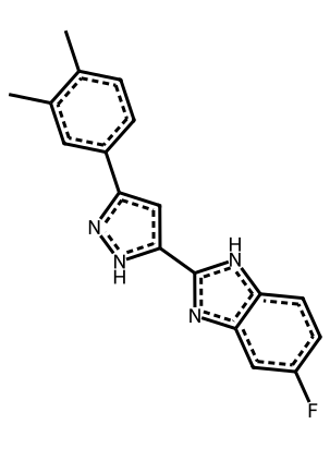 Cc1ccc(-c2cc(-c3nc4cc(F)ccc4[nH]3)[nH]n2)cc1C